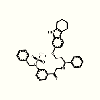 CS(=O)(=O)N(Cc1ccccc1)c1cccc(C(=O)CNC(CCOc2ccc3c4c([nH]c3c2)CCCC4)c2ccccc2)c1